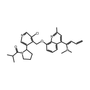 C=C/C=C(/c1cc(C)nc2c(OCc3c(Cl)cncc3C3CCCN3C(=O)C(C)C)cccc12)N(C)C